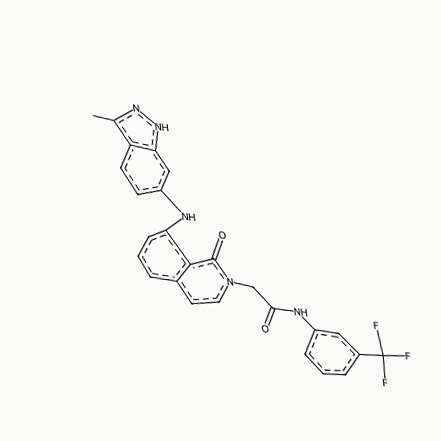 Cc1n[nH]c2cc(Nc3cccc4ccn(CC(=O)Nc5cccc(C(F)(F)F)c5)c(=O)c34)ccc12